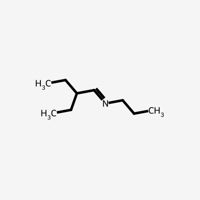 CCCN=CC(CC)CC